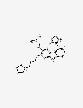 COc1cc2c(cc1OCCCN1CCCC1)[nH]c1ccnc(-c3nnc[nH]3)c12.O=CO